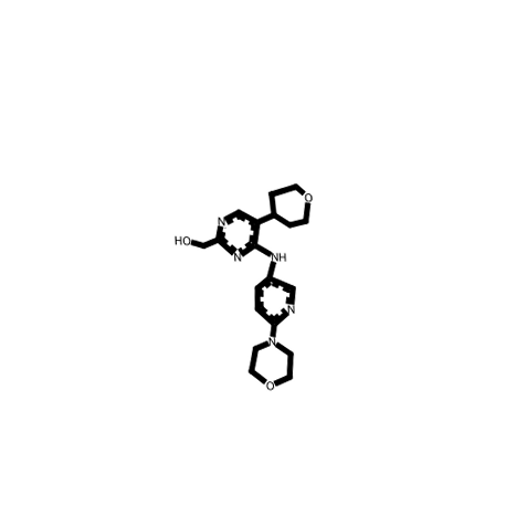 OCc1ncc(C2CCOCC2)c(Nc2ccc(N3CCOCC3)nc2)n1